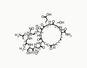 C[C@@H](O)[C@H](NC(=O)[C@H](CC(N)=O)NN[C@H](C=O)CO)C(=O)N[C@@H](CO)C(=O)NC1CCC(=O)NCCCCC(C(N)=O)NN[C@@H](CO)C(=O)N[C@@H](CCC(=O)O)C(=O)C(=O)[C@H](CO)NC1=O